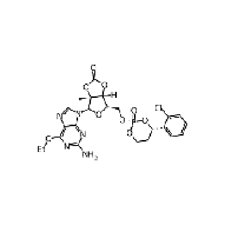 CCOc1nc(N)nc2c1ncn2[C@@H]1O[C@H](CO[P@@]2(=O)OCC[C@@H](c3ccccc3Cl)O2)[C@H]2OC(=O)O[C@]21C